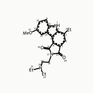 CCc1cc2c(c3c1[nH]c1ccc(OC)cc13)C(=O)N(CCN(CC)CC)C2=O